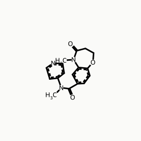 CN(C(=O)c1ccc2c(c1)N(C)C(=O)CCO2)c1ccncc1